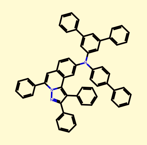 c1ccc(-c2ccc(N(c3cc(-c4ccccc4)cc(-c4ccccc4)c3)c3ccc4cc(-c5ccccc5)n5nc(-c6ccccc6)c(-c6ccccc6)c5c4c3)cc2)cc1